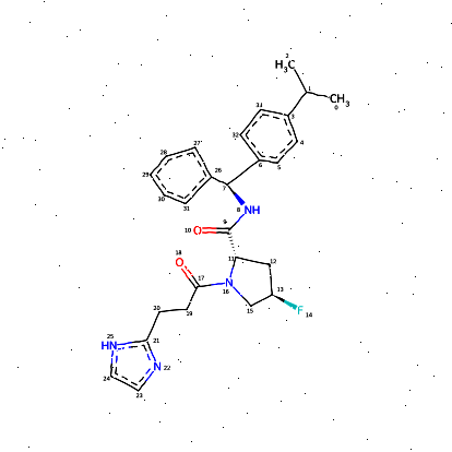 CC(C)c1ccc([C@@H](NC(=O)[C@@H]2C[C@@H](F)CN2C(=O)CCc2ncc[nH]2)c2ccccc2)cc1